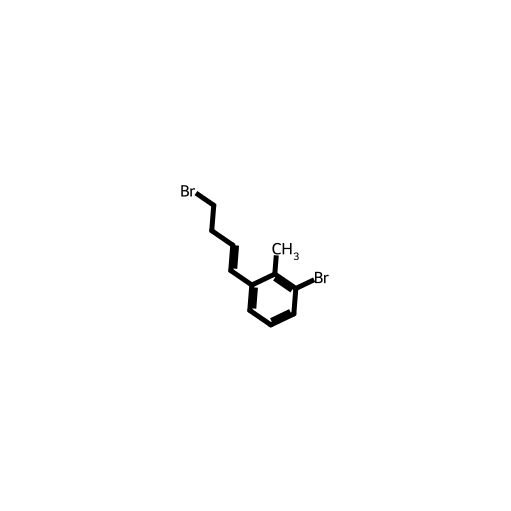 Cc1c(Br)cccc1C=CCCBr